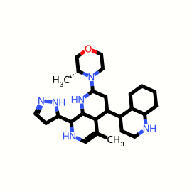 CC1=CNC(C2CC=NN2)C2NC(N3CCOC[C@H]3C)CC(C3CCNC4CCCCC43)C12